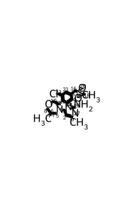 Cc1cc(N2C[C@@H](C)COC[C@@H]2c2ccc(CS(C)(=O)=O)cc2Cl)nc(N)n1